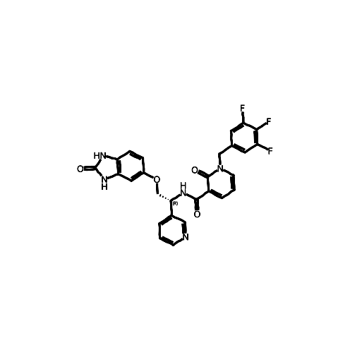 O=C(N[C@@H](COc1ccc2[nH]c(=O)[nH]c2c1)c1cccnc1)c1cccn(Cc2cc(F)c(F)c(F)c2)c1=O